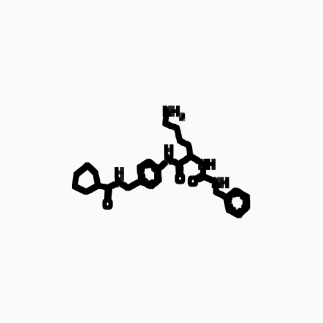 NCCCCC(NC(=O)NCc1ccccc1)C(=O)Nc1ccc(CNC(=O)C2CCCCC2)cc1